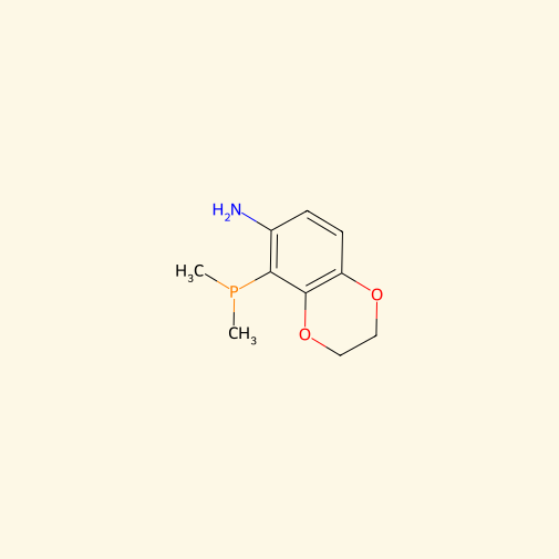 CP(C)c1c(N)ccc2c1OCCO2